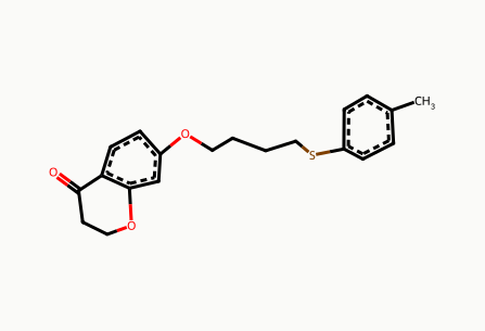 Cc1ccc(SCCCCOc2ccc3c(c2)OCCC3=O)cc1